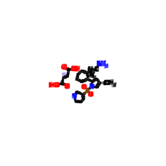 CN.Cc1cc(-c2ccccc2C)n(S(=O)(=O)c2cccnc2)c1.O=C(O)/C=C/C(=O)O